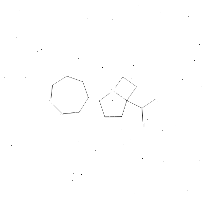 C1CCC[N]CC1.CC(C)C(C)C12CCC[N+]1CC2